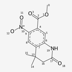 COC(=O)c1cc2c(cc1[N+](=O)[O-])C(C)(C)CC(=O)N2